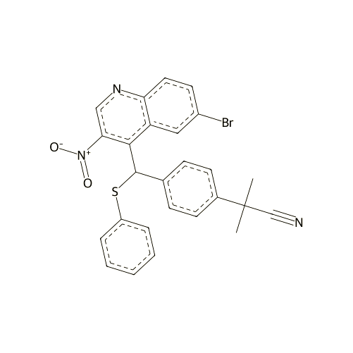 CC(C)(C#N)c1ccc(C(Sc2ccccc2)c2c([N+](=O)[O-])cnc3ccc(Br)cc23)cc1